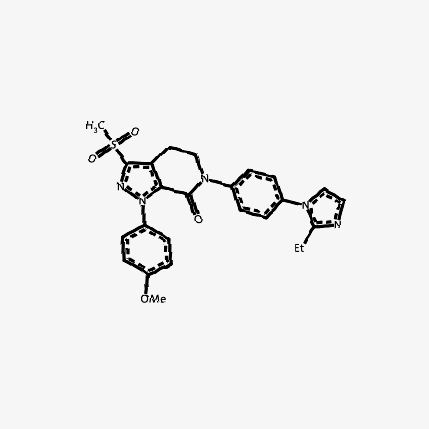 CCc1nccn1-c1ccc(N2CCc3c(S(C)(=O)=O)nn(-c4ccc(OC)cc4)c3C2=O)cc1